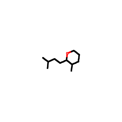 CC(C)CCC1OCCCC1C